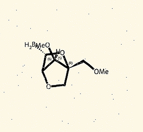 B[C@@H]1O[C@]2(COC)COC1[C@@H]2OC